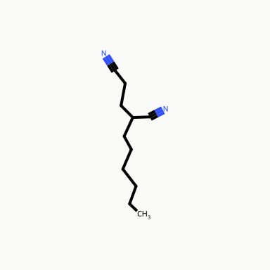 CCCCCCC(C#N)CCC#N